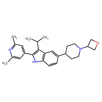 Cc1cc(-c2[nH]c3ccc(C4CCN(C5COC5)CC4)cc3c2C(C)C)cc(C)n1